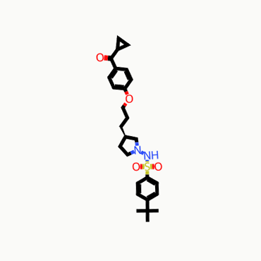 CC(C)(C)c1ccc(S(=O)(=O)NN2CC[C@@H](CCCOc3ccc(C(=O)C4CC4)cc3)C2)cc1